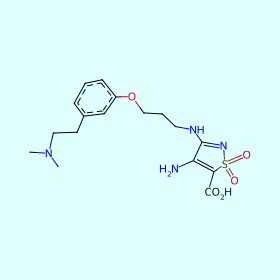 CN(C)CCc1cccc(OCCCNC2=NS(=O)(=O)C(C(=O)O)=C2N)c1